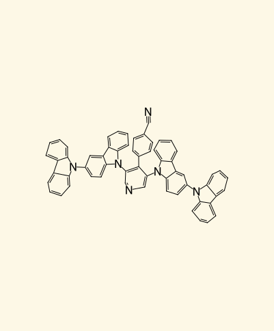 N#Cc1ccc(-c2c(-n3c4ccccc4c4cc(-n5c6ccccc6c6ccccc65)ccc43)cncc2-n2c3ccccc3c3cc(-n4c5ccccc5c5ccccc54)ccc32)cc1